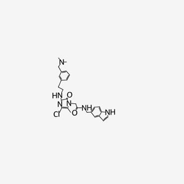 Cc1c(Cl)nc(NCCc2cccc(CN(C)C)c2)c(=O)n1CC(=O)NCc1ccc2[nH]ccc2c1